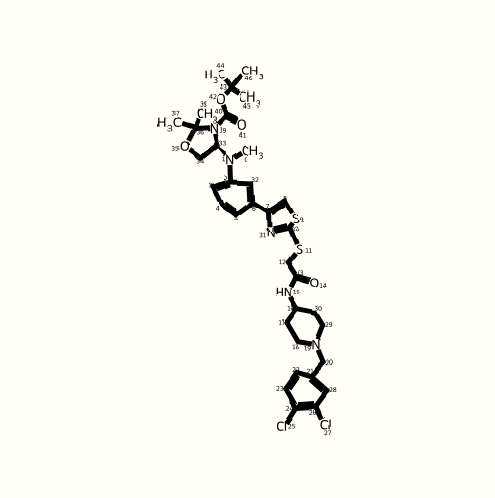 CN(c1cccc(-c2csc(SCC(=O)NC3CCN(Cc4ccc(Cl)c(Cl)c4)CC3)n2)c1)[C@H]1COC(C)(C)N1C(=O)OC(C)(C)C